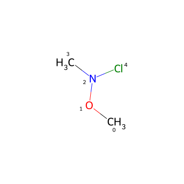 CON(C)Cl